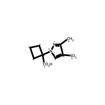 Cc1nn(C2(C(=O)O)CCC2)cc1[N+](=O)[O-]